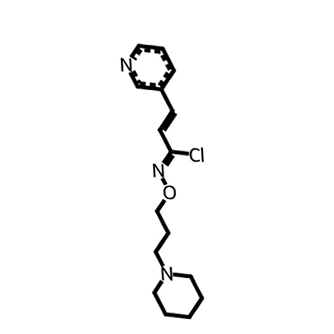 ClC(C=Cc1cccnc1)=NOCCCN1CCCCC1